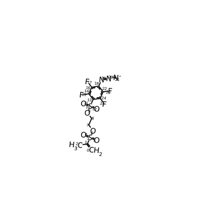 C=C(C)S(=O)(=O)OCCOS(=O)(=O)c1c(F)c(F)c(N=[N+]=[N-])c(F)c1F